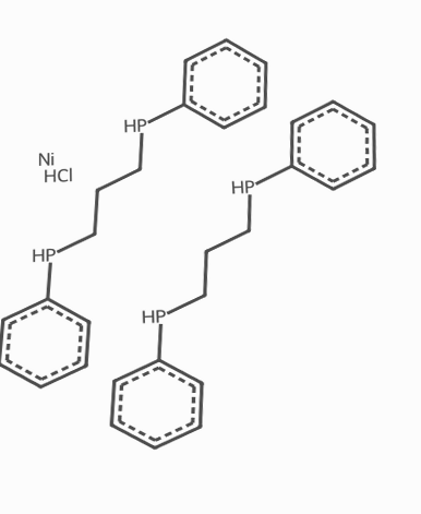 Cl.[Ni].c1ccc(PCCCPc2ccccc2)cc1.c1ccc(PCCCPc2ccccc2)cc1